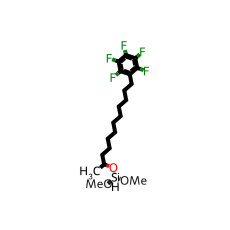 CO[SiH](OC)OC(C)CCCCCCCCCCc1c(F)c(F)c(F)c(F)c1F